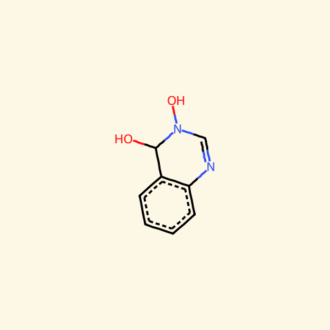 OC1c2ccccc2N=CN1O